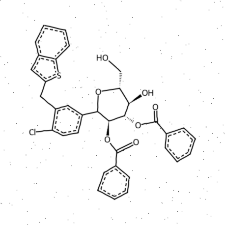 O=C(O[C@H]1[C@H](O)[C@@H](CO)OC(c2ccc(Cl)c(Cc3cc4ccccc4s3)c2)[C@@H]1OC(=O)c1ccccc1)c1ccccc1